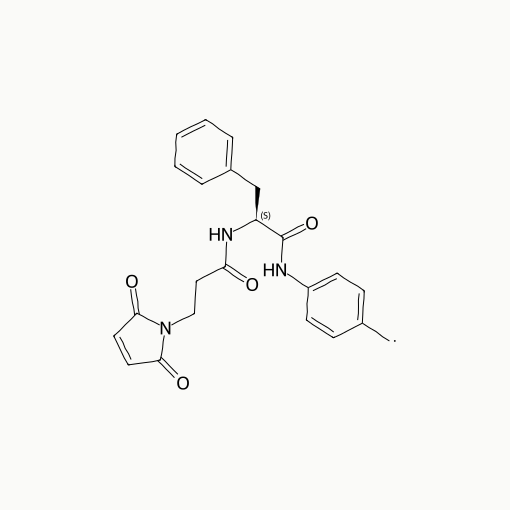 [CH2]c1ccc(NC(=O)[C@H](Cc2ccccc2)NC(=O)CCN2C(=O)C=CC2=O)cc1